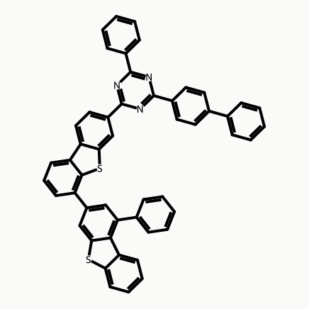 c1ccc(-c2ccc(-c3nc(-c4ccccc4)nc(-c4ccc5c(c4)sc4c(-c6cc(-c7ccccc7)c7c(c6)sc6ccccc67)cccc45)n3)cc2)cc1